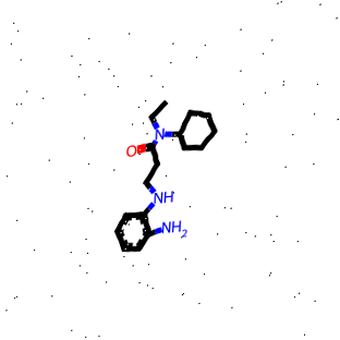 CCN(C(=O)CCNc1ccccc1N)C1CCCCC1